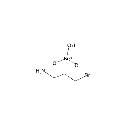 NCCCBr.[O-][Br+2]([O-])O